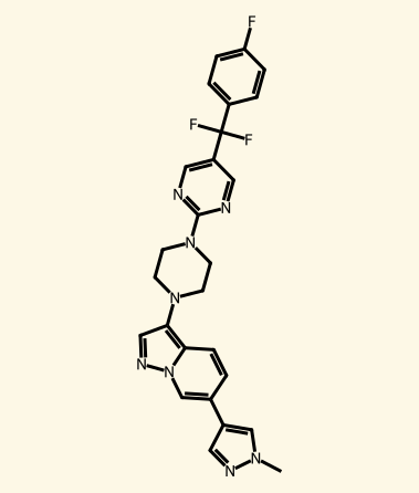 Cn1cc(-c2ccc3c(N4CCN(c5ncc(C(F)(F)c6ccc(F)cc6)cn5)CC4)cnn3c2)cn1